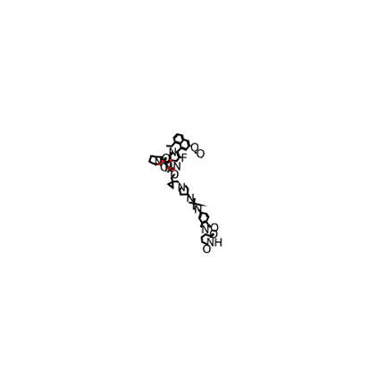 CCc1cccc2cc(OCOC)cc(-c3ncc4c(N5CC6CCC(C5)N6C(=O)OC(C)(C)C)nc(OCC5(CN6CCC(N7CC8(CN(c9ccc%10c(c9)CN(C9CCC(=O)NC9=O)C%10=O)C8)C7)CC6)CC5)nc4c3F)c12